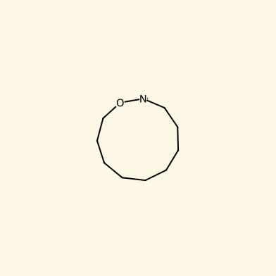 C1CCCC[N]OCCCC1